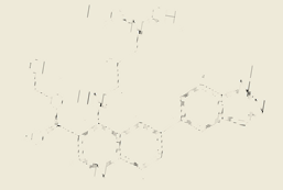 CCOC(=O)c1cnc2ccc(-c3ccc4[nH]ncc4c3)cc2c1NCCCN(C)C